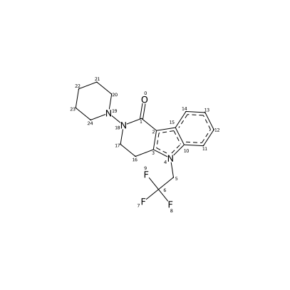 O=C1c2c(n(CC(F)(F)F)c3ccccc23)CCN1N1CCCCC1